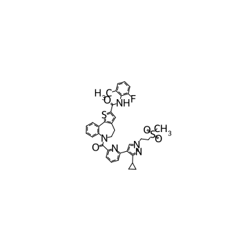 Cc1cccc(F)c1NC(=O)c1cc2c(s1)-c1ccccc1N(C(=O)c1cccc(-c3cn(CCS(C)(=O)=O)nc3C3CC3)n1)CC2